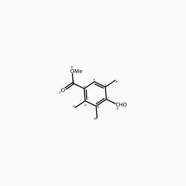 COC(=O)c1cc(C)c(C=O)c(C)c1C